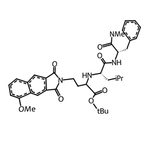 CNC(=O)[C@H](Cc1ccccc1)NC(=O)[C@H](CC(C)C)NC(CCN1C(=O)c2cc3cccc(OC)c3cc2C1=O)C(=O)OC(C)(C)C